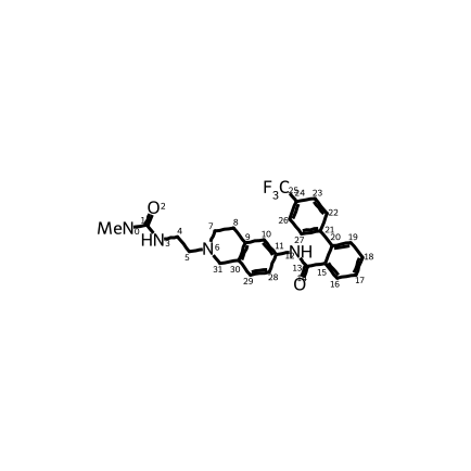 CNC(=O)NCCN1CCc2cc(NC(=O)c3ccccc3-c3ccc(C(F)(F)F)cc3)ccc2C1